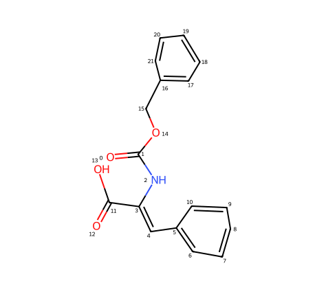 O=C(NC(=Cc1ccccc1)C(=O)O)OCc1ccccc1